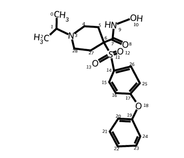 CC(C)N1CCC(C(=O)NO)(S(=O)(=O)c2ccc(Oc3ccccc3)cc2)CC1